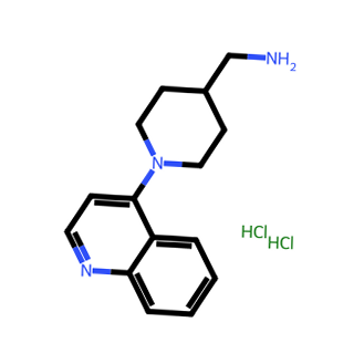 Cl.Cl.NCC1CCN(c2ccnc3ccccc23)CC1